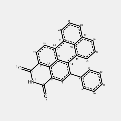 O=C1NC(=O)c2cc(-c3ccccc3)c3c4cccc5cccc(c6ccc1c2c63)c54